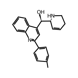 Cc1ccc(-c2cc([C@@H](O)[C@H]3C=CCCN3)c3ccccc3n2)cc1